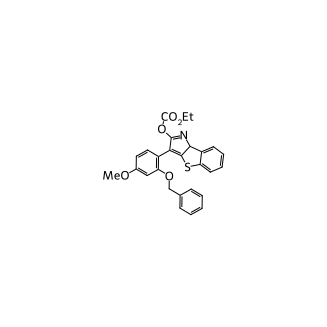 CCOC(=O)OC1=NC2C(=C1c1ccc(OC)cc1OCc1ccccc1)Sc1ccccc12